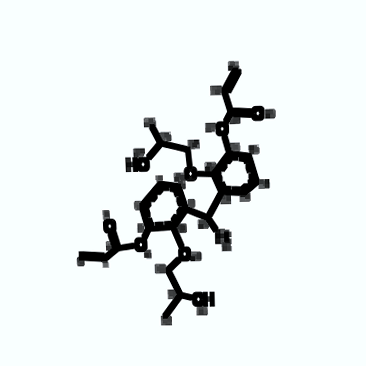 C=CC(=O)Oc1cccc(C(CC)c2cccc(OC(=O)C=C)c2OCC(C)O)c1OCC(C)O